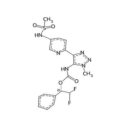 Cn1nnc(-c2ccc(NS(C)(=O)=O)cn2)c1NC(=O)O[C@@H](c1ccccc1)C(F)F